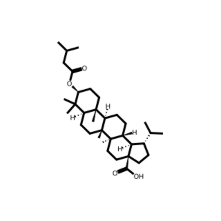 CC(C)CC(=O)O[C@H]1CC[C@]2(C)[C@H]3CC[C@@H]4[C@H]5[C@H](C(C)C)CC[C@]5(C(=O)O)CC[C@@]4(C)[C@]3(C)CC[C@H]2C1(C)C